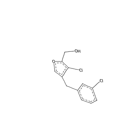 OCc1occ(Cc2cccc(Cl)c2)c1Cl